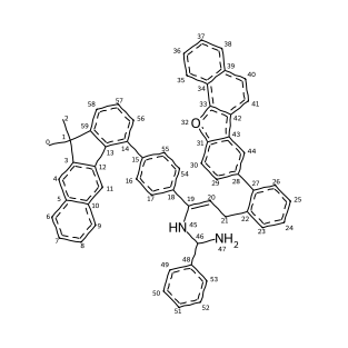 CC1(C)c2cc3ccccc3cc2-c2c(-c3ccc(/C(=C/Cc4ccccc4-c4ccc5oc6c7ccccc7ccc6c5c4)NC(N)c4ccccc4)cc3)cccc21